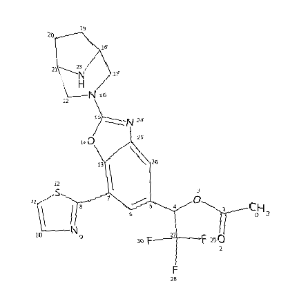 CC(=O)OC(c1cc(-c2nccs2)c2oc(N3CC4CCC(C3)N4)nc2c1)C(F)(F)F